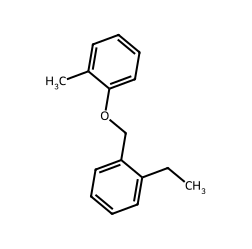 CCc1ccccc1COc1ccccc1C